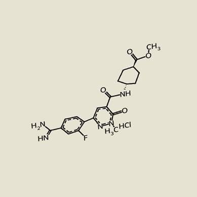 COC(=O)[C@H]1CC[C@H](NC(=O)c2cc(-c3ccc(C(=N)N)cc3F)nn(C)c2=O)CC1.Cl